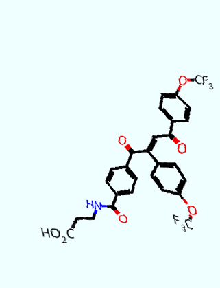 O=C(O)CCNC(=O)c1ccc(C(=O)C(=CC(=O)c2ccc(OC(F)(F)F)cc2)c2ccc(OC(F)(F)F)cc2)cc1